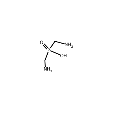 NCP(=O)(O)CN